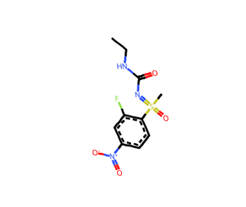 CCNC(=O)N=S(C)(=O)c1ccc([N+](=O)[O-])cc1F